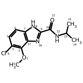 COc1c(Cl)ccc2[nH]c(C(=O)NC(C)C)nc12